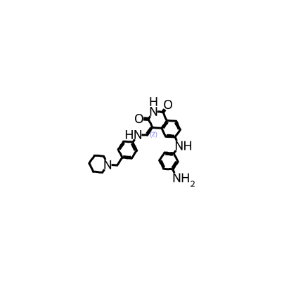 Nc1cccc(Nc2ccc3c(c2)/C(=C/Nc2ccc(CN4CCCCC4)cc2)C(=O)NC3=O)c1